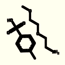 COCCOCCN.Cc1ccc(S(=O)(=O)O)cc1